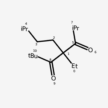 CCC(CCC(C)C)(C(=O)C(C)C)C(=O)C(C)(C)C